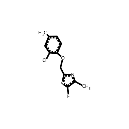 Cc1ccc(OCc2nc(C)c(F)s2)c(Cl)c1